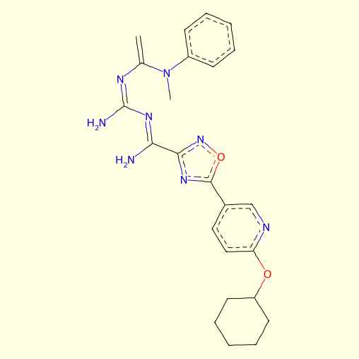 C=C(/N=C(N)\N=C(/N)c1noc(-c2ccc(OC3CCCCC3)nc2)n1)N(C)c1ccccc1